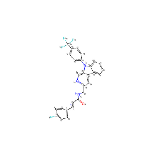 O=C(/C=C/c1ccc(F)cc1)NCc1cc2c3ccccc3n(-c3ccc(C(F)(F)F)cc3)c2cn1